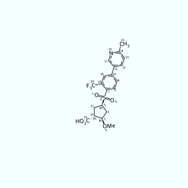 CO[C@@H]1C[C@H](S(=O)(=O)c2ccc(-c3ccc(C)nc3)cc2C(F)(F)F)C[C@H]1C(=O)O